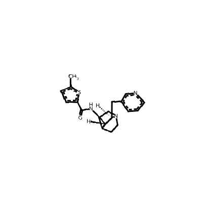 Cc1ccc(C(=O)N[C@H]2C3CCN(CC3)[C@@H]2Cc2cccnc2)s1